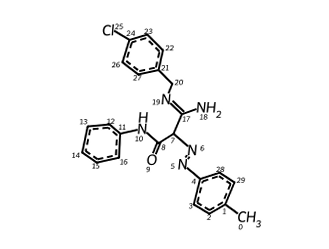 Cc1ccc(/N=N/C(C(=O)Nc2ccccc2)/C(N)=N/Cc2ccc(Cl)cc2)cc1